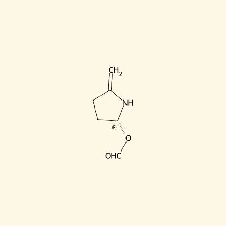 C=C1CC[C@@H](OC=O)N1